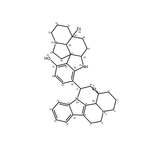 CCC12CCCN3CCc4c(n(c5ccccc45)C(c4ccc(O)c5c4NC4CCC6(CC)CCCN7CCC54C76)C1)C32